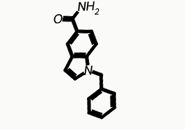 NC(=O)c1ccc2c(ccn2Cc2ccccc2)c1